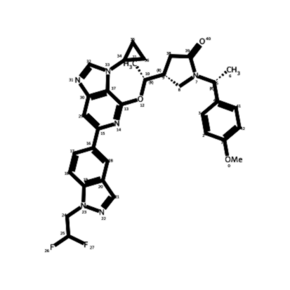 COc1ccc([C@@H](C)N2C[C@H]([C@@H](C)Oc3nc(-c4ccc5c(cnn5CC(F)F)c4)cc4ncn(C5CC5)c34)CC2=O)cc1